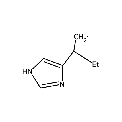 [CH2]C(CC)c1c[nH]cn1